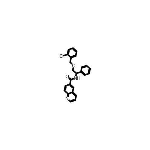 O=C(NC(COCc1ccccc1Cl)c1ccccc1)c1ccc2ncccc2c1